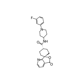 O=C1O[C@]2(CC[C@@H](C(=O)NC3CCN(c4cccc(F)c4)CC3)CC2)c2ncccc21